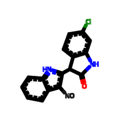 O=Nc1c(C2C(=O)Nc3cc(Cl)ccc32)[nH]c2ccccc12